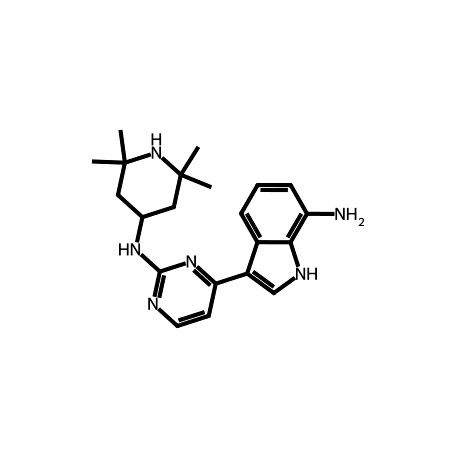 CC1(C)CC(Nc2nccc(-c3c[nH]c4c(N)cccc34)n2)CC(C)(C)N1